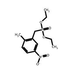 CCOP(=O)(Cc1cc([N+](=O)[O-])ccc1C)OCC